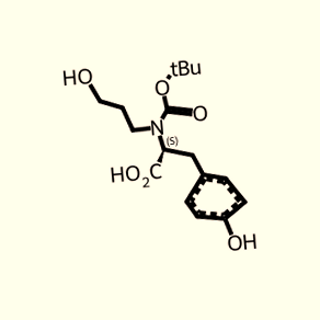 CC(C)(C)OC(=O)N(CCCO)[C@@H](Cc1ccc(O)cc1)C(=O)O